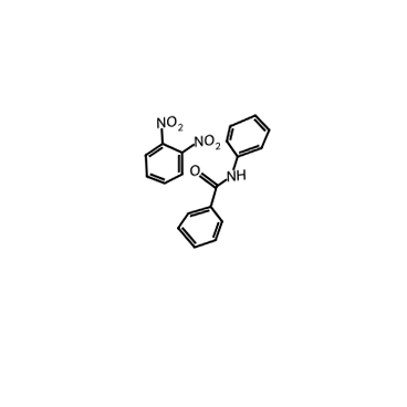 O=C(Nc1ccccc1)c1ccccc1.O=[N+]([O-])c1ccccc1[N+](=O)[O-]